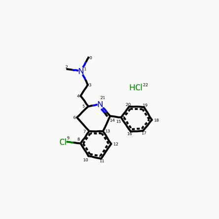 CN(C)CCC1Cc2c(Cl)cccc2C(c2ccccc2)=N1.Cl